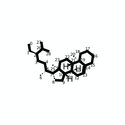 CC[C@H](CC[C@@H](C)[C@H]1CC[C@H]2[C@@H]3CC=C4C[CH]CC[C@]4(C)[C@H]3CC[C@]12C)C(C)C